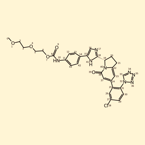 COCCOCCOC(=O)Nc1ccc(-c2cnc([C@@H]3CCc4cc(-c5cc(Cl)ccc5-n5cnnn5)cc(=O)n43)[nH]2)cc1